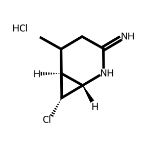 CC1CC(=N)N[C@@H]2[C@H](Cl)[C@@H]12.Cl